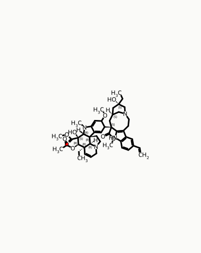 C=Cc1ccc2[nH]c3c(c2c1)CCN1C[C@H](C[C@@](O)(CC)C1)C[C@]3(C(=O)OC)C1C=C2C(=CC1OC)N(C)[C@H]1[C@@](O)(C(=O)OC)[C@H](OC(C)=O)[C@]3(CC)C=CCN4CC[C@]21[C@@H]43